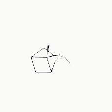 FC(F)(F)S[C@H]1C2CNC1C2